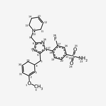 COC1=CC(Cc2nc(CN3CC=CCC3)nn2-c2ccc(S(N)(=O)=O)cc2F)CC=C1